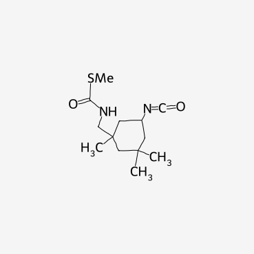 CSC(=O)NCC1(C)CC(N=C=O)CC(C)(C)C1